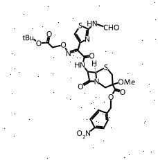 COC1(C(=O)OCc2ccc([N+](=O)[O-])cc2)CS[C@@H]2C(NC(=O)C(=NOCC(=O)OC(C)(C)C)c3csc(NC=O)n3)C(=O)N2C1